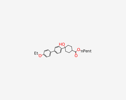 CCCCCOC(=O)C1CCC(O)(c2ccc(-c3ccc(OCC)cc3)cc2)CC1